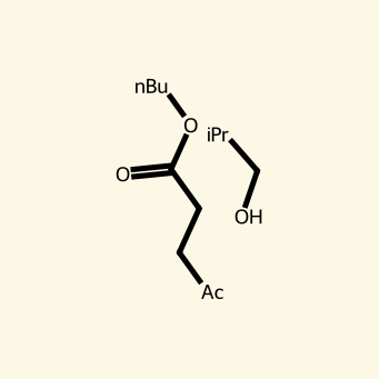 CC(C)CO.CCCCOC(=O)CCC(C)=O